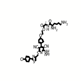 CCCNc1nc(SCc2csc(-c3ccc(Cl)cc3)n2)c(C#N)c(-c2ccc(OCCOC(=O)[C@H](C)NC(=O)[C@@H](N)CCCCN)cc2)c1C#N